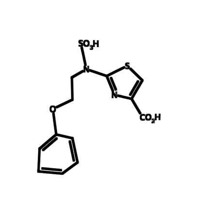 O=C(O)c1csc(N(CCOc2ccccc2)S(=O)(=O)O)n1